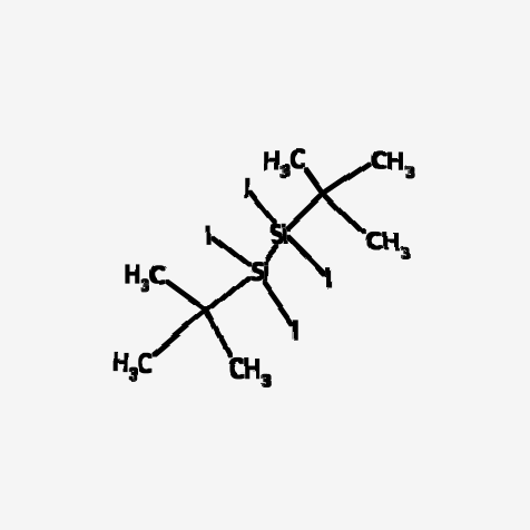 CC(C)(C)[Si](I)(I)[Si](I)(I)C(C)(C)C